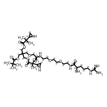 CC(C)(C)C(=O)OCC(COCC(=O)NCCOCCOCCNC(=O)C(N)CCCNC(=N)N)(COC(=O)C(C)(C)C1CN1)COC(=O)C(C)(C)C1CN1